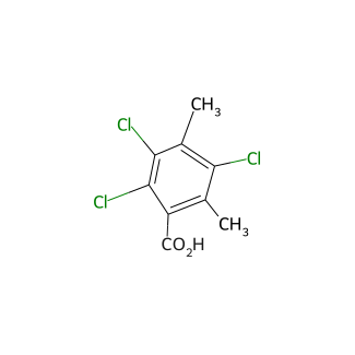 Cc1c(Cl)c(C)c(C(=O)O)c(Cl)c1Cl